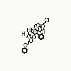 CC1=C(OC(=O)OCCCl)C(c2ccccc2Cl)C(OC(=O)OCCOc2ccccc2)=C(C)N1